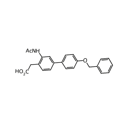 CC(=O)Nc1cc(-c2ccc(OCc3ccccc3)cc2)ccc1CC(=O)O